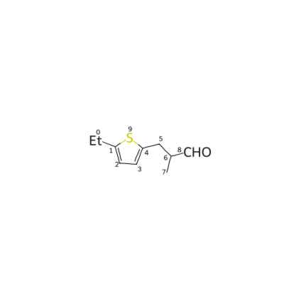 CCc1ccc(CC(C)C=O)s1